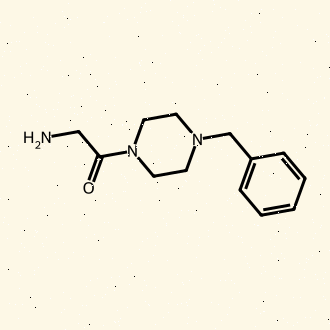 NCC(=O)N1CCN(Cc2ccccc2)CC1